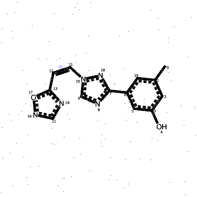 Cc1cc(O)cc(-c2ncn(/C=C\c3ncno3)n2)c1